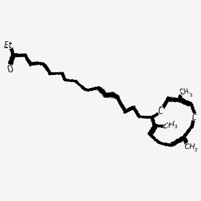 CCC(=O)CCCCCCCCCCCCCCC1CC/C(C)=C\CC/C(C)=C\C/C=C/1C